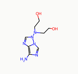 Nc1ncn2c1ncn2N(CCO)CCO